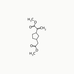 C=C(C(=O)OC)C1CCC(CC(=O)OC)C1